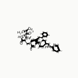 CN(C)S(=O)(=O)N[C@@H](Cn1cc(CCc2ccccc2)c(N2CCC(CNc3ccccn3)CC2)nc1=O)C(=O)O